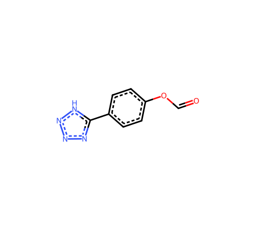 O=COc1ccc(-c2nnn[nH]2)cc1